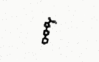 NC(=O)c1csc(-c2ccc(N3CCOCC3)cn2)n1